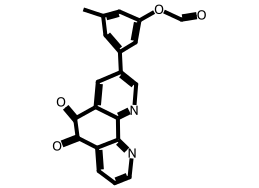 Cc1cc(OC=O)cc(-c2cnc3c(c2)C(=O)C(=O)c2cccnc2-3)c1